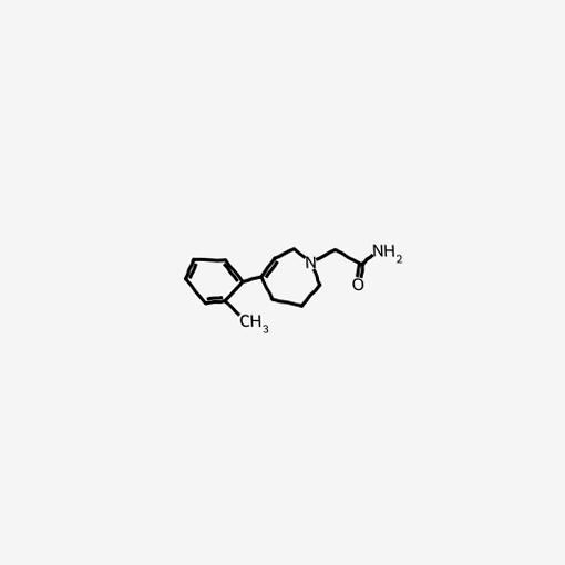 Cc1ccccc1C1=CCN(CC(N)=O)CCC1